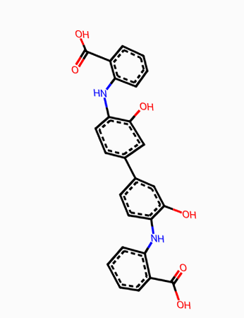 O=C(O)c1ccccc1Nc1ccc(-c2ccc(Nc3ccccc3C(=O)O)c(O)c2)cc1O